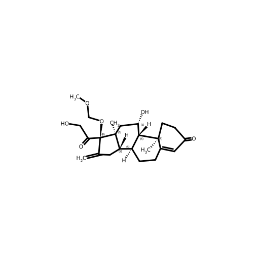 C=C1C[C@H]2[C@@H]3CCC4=CC(=O)CC[C@]4(C)[C@H]3[C@@H](O)C[C@]2(C)[C@@]1(OCOC)C(=O)CO